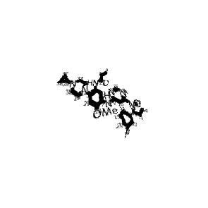 C=CC(=O)Nc1cc(Nc2cc(N3OCC[C@@H]3c3cccc(F)c3)ncn2)c(OC)cc1N1CCN(C2CC2)CC1